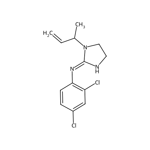 C=CC(C)N1CCN/C1=N\c1ccc(Cl)cc1Cl